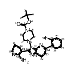 CC(C)(C)OC(=O)N1CCN(n2c(-c3cccnc3N)nc3ccc(-c4ccccc4F)nc32)CC1